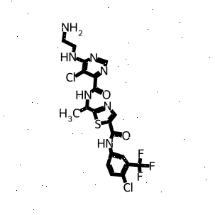 CC(NC(=O)c1ncnc(NCCN)c1Cl)c1ncc(C(=O)Nc2ccc(Cl)c(C(F)(F)F)c2)s1